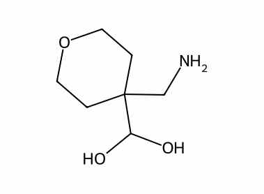 NCC1(C(O)O)CCOCC1